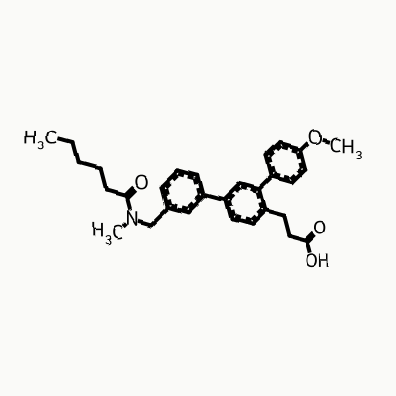 CCCCCC(=O)N(C)Cc1cccc(-c2ccc(CCC(=O)O)c(-c3ccc(OC)cc3)c2)c1